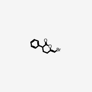 O=C1O/C(=C\Br)CCC1c1ccccc1